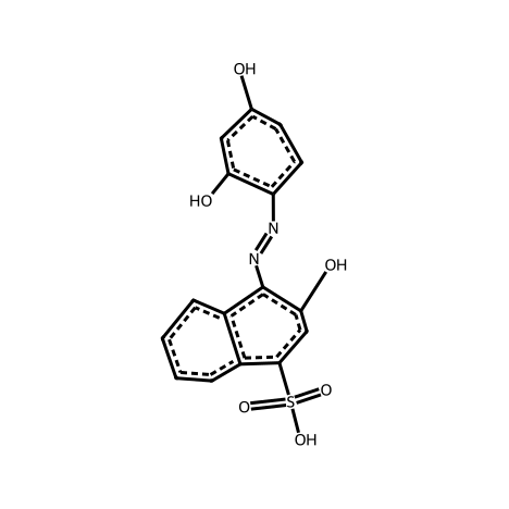 O=S(=O)(O)c1cc(O)c(/N=N/c2ccc(O)cc2O)c2ccccc12